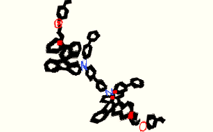 C=C/C=C\C=C(/c1ccccc1)C1(CCCCCCOc2ccc(C=C)cc2)c2ccccc2-c2ccc(N(c3ccc(-c4ccccc4)cc3)c3ccc(-c4ccc(N(c5ccc(-c6ccccc6)cc5)c5ccc6c(c5)C(CCCCCCOc5ccc(C=C)cc5)(c5ccccc5-c5ccccc5)c5ccccc5-6)cc4)cc3)cc21